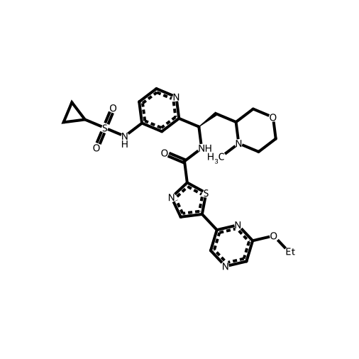 CCOc1cncc(-c2cnc(C(=O)N[C@H](CC3COCCN3C)c3cc(NS(=O)(=O)C4CC4)ccn3)s2)n1